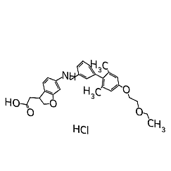 CCOCCOc1cc(C)c(-c2cccc(CNc3ccc4c(c3)OCC4CC(=O)O)c2)c(C)c1.Cl